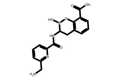 NCc1cccc(C(=O)NC2Cc3cccc(C(=O)O)c3OB2O)n1